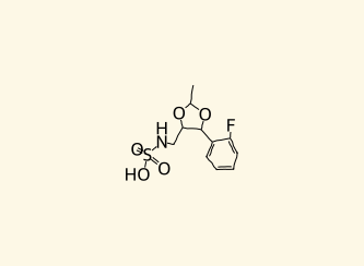 CC1OC(CNS(=O)(=O)O)C(c2ccccc2F)O1